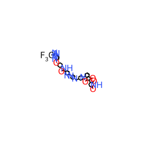 O=C1CCC(C2C(=O)c3cccc(N4CCC(CN5CCN(c6ccc(C(=O)N[C@H]7CC[C@H](Oc8ccc9nnc(C(F)(F)F)n9n8)CC7)cn6)CC5)CC4)c3C2=O)C(=O)N1